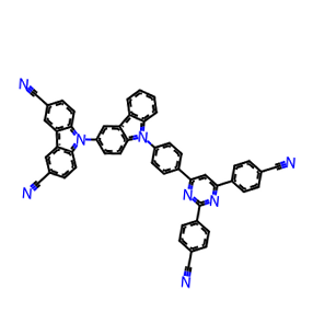 N#Cc1ccc(-c2cc(-c3ccc(-n4c5ccccc5c5cc(-n6c7ccc(C#N)cc7c7cc(C#N)ccc76)ccc54)cc3)nc(-c3ccc(C#N)cc3)n2)cc1